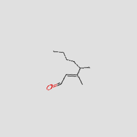 CCCCC(C)C(C)=CC=O